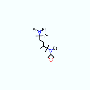 CCN(C1COC1)C(C)(C)C(C)CCC(C)(C(C)C)N(CC)CC